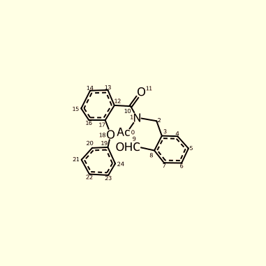 CC(=O)N(Cc1ccccc1C=O)C(=O)c1ccccc1Oc1ccccc1